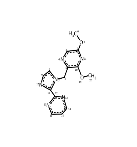 COc1cnc(Cn2ccnc2-c2ncccn2)c(OC)n1